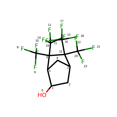 OC1CC2CC1C(C(F)(F)F)(C(F)(F)F)C2(C(F)(F)F)C(F)(F)F